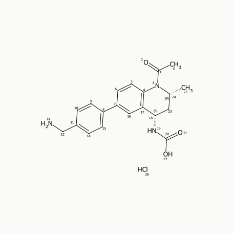 CC(=O)N1c2ccc(-c3ccc(CN)cc3)cc2[C@@H](NC(=O)O)C[C@H]1C.Cl